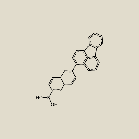 OB(O)C1=CC2C=CC(c3ccc4c5c(cccc35)-c3ccccc3-4)=CC2C=C1